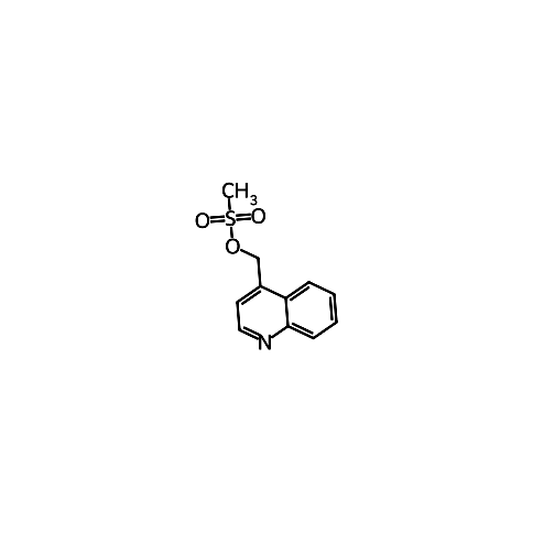 CS(=O)(=O)OCc1ccnc2ccccc12